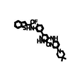 CC1(C)CCN(c2ccc(Nc3cc(-c4ccc(F)c(NC(=O)c5cc6ccccc6s5)c4)n[nH]c3=O)nc2)CC1